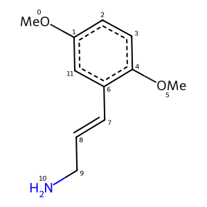 COc1ccc(OC)c(C=CCN)c1